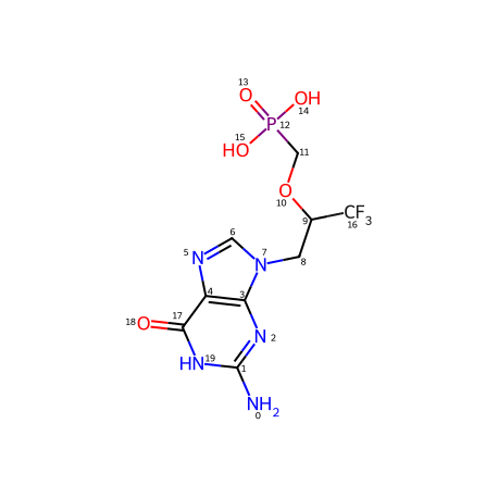 Nc1nc2c(ncn2CC(OCP(=O)(O)O)C(F)(F)F)c(=O)[nH]1